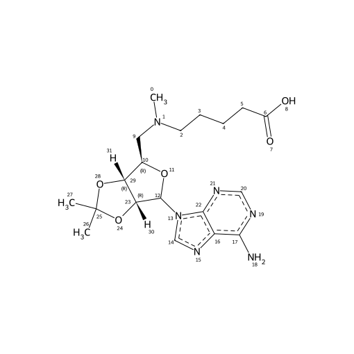 CN(CCCCC(=O)O)C[C@H]1OC(n2cnc3c(N)ncnc32)[C@@H]2OC(C)(C)O[C@H]12